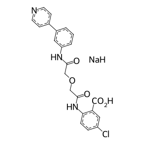 O=C(COCC(=O)Nc1ccc(Cl)cc1C(=O)O)Nc1cccc(-c2ccncc2)c1.[NaH]